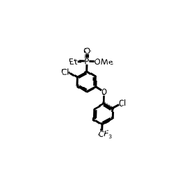 CCP(=O)(OC)c1cc(Oc2ccc(C(F)(F)F)cc2Cl)ccc1Cl